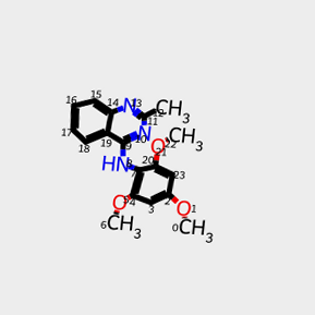 COc1cc(OC)c(Nc2nc(C)nc3ccccc23)c(OC)c1